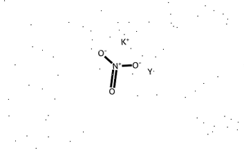 O=[N+]([O-])[O-].[K+].[Y]